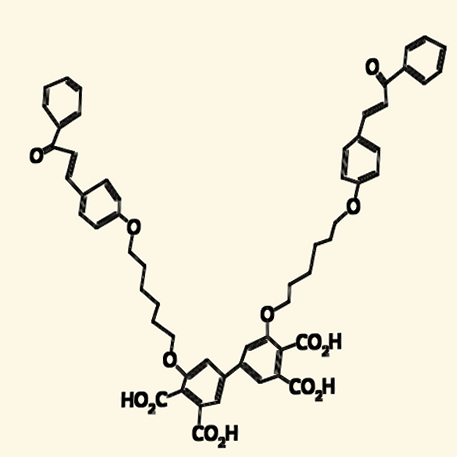 O=C(C=Cc1ccc(OCCCCCCOc2cc(-c3cc(OCCCCCCOc4ccc(C=CC(=O)c5ccccc5)cc4)c(C(=O)O)c(C(=O)O)c3)cc(C(=O)O)c2C(=O)O)cc1)c1ccccc1